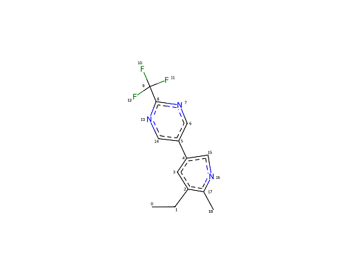 CCc1cc(-c2cnc(C(F)(F)F)nc2)cnc1C